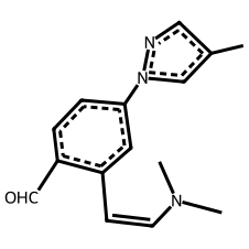 Cc1cnn(-c2ccc(C=O)c(/C=C\N(C)C)c2)c1